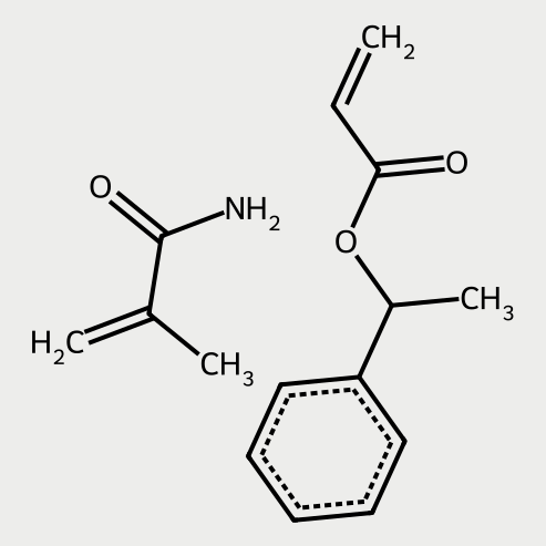 C=C(C)C(N)=O.C=CC(=O)OC(C)c1ccccc1